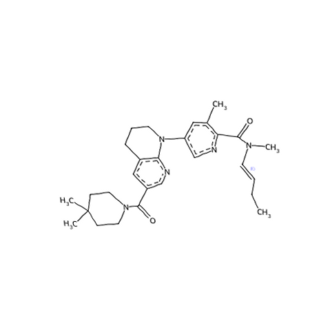 CC/C=C/N(C)C(=O)c1ncc(N2CCCc3cc(C(=O)N4CCC(C)(C)CC4)cnc32)cc1C